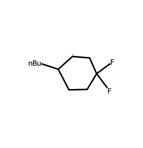 CCCCC1[CH]CC(F)(F)CC1